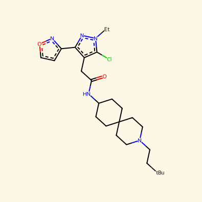 CCn1nc(-c2ccon2)c(CC(=O)NC2CCC3(CC2)CCN(CCC(C)(C)C)CC3)c1Cl